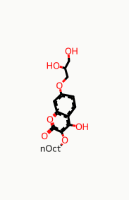 CCCCCCCCOc1c(O)c2ccc(OCC(O)CO)cc2oc1=O